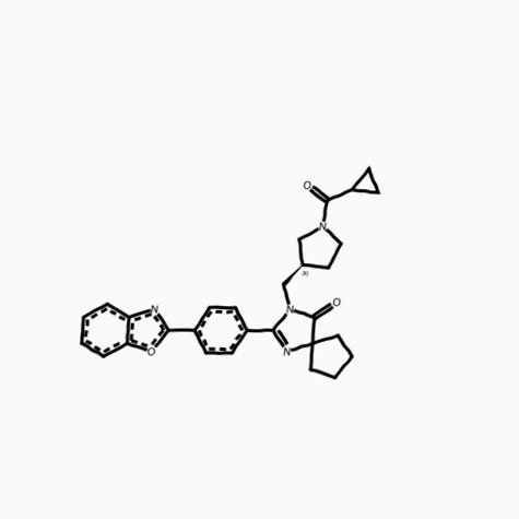 O=C(C1CC1)N1CC[C@@H](CN2C(=O)C3(CCCC3)N=C2c2ccc(-c3nc4ccccc4o3)cc2)C1